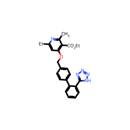 CCOC(=O)c1c(OCc2ccc(-c3ccccc3-c3nnn[nH]3)cc2)cc(CC)nc1C